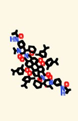 C=C(C)C(=O)Nc1cccc(N(C(=O)C(C(C)C2CCCCC2)N2C(=O)c3cc(Oc4ccc(C(C)C)cc4C)c4c5c(Oc6ccc(C(C)C)cc6C)cc6c7c(cc(Oc8ccc(C(C)C)cc8C)c(c8c(Oc9ccc(C(C)C)cc9C)cc(c3c48)C2=O)c75)C(=O)N(C(C(=O)N(c2cccc(NC(=O)C(=C)C)c2)C(C)C)C(C)C2CCCCC2)C6=O)C(C)C)c1